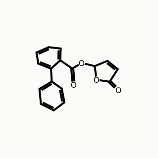 O=C1C=CC(OC(=O)c2ccccc2-c2ccccc2)O1